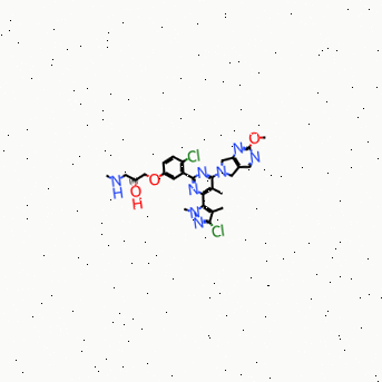 CNC[C@@H](O)COc1ccc(Cl)c(-c2nc(-c3c(C)c(Cl)nn3C)c(C)c(N3Cc4cnc(OC)nc4C3)n2)c1